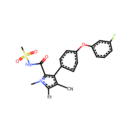 CCc1c(C#N)c(-c2ccc(Oc3cccc(F)c3)cc2)c(C(=O)NS(C)(=O)=O)n1C